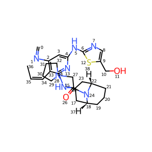 C=Nc1cc(Nc2ncc(CO)s2)nc(N[C@@H]2C[C@H]3CCC[C@@H](C2)N3C(=O)CN2CCCC2)c1/C=C\C